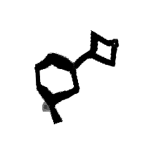 C[C@H]1CCCN(C2COC2)C1